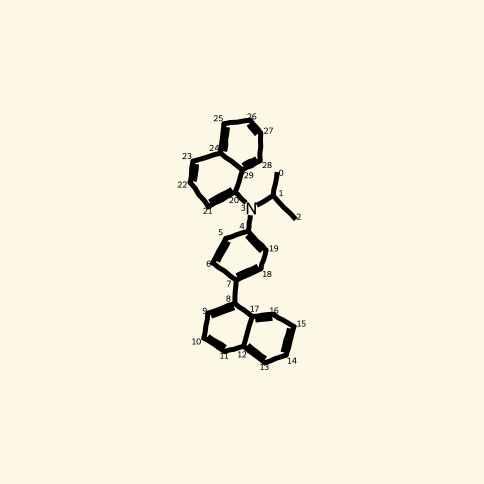 CC(C)N(c1ccc(-c2cccc3ccccc23)cc1)c1cccc2ccccc12